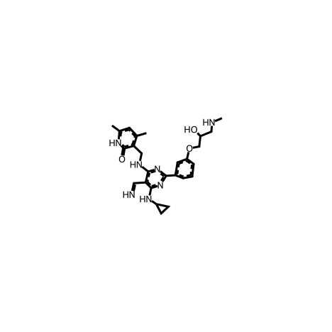 CNCC(O)COc1cccc(-c2nc(NCc3c(C)cc(C)[nH]c3=O)c(C=N)c(NC3CC3)n2)c1